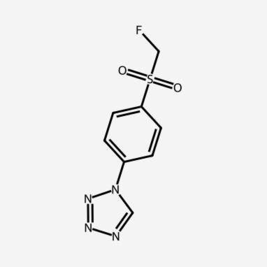 O=S(=O)(CF)c1ccc(-n2cnnn2)cc1